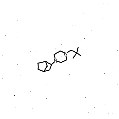 CC(C)(C)CN1CCN(C2CC3CCC2C3)CC1